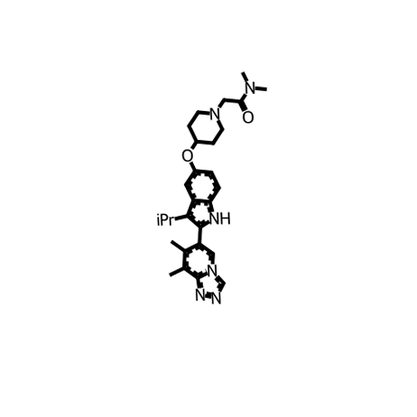 Cc1c(-c2[nH]c3ccc(OC4CCN(CC(=O)N(C)C)CC4)cc3c2C(C)C)cn2cnnc2c1C